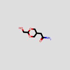 NC(=O)CC1COC(CO)OC1